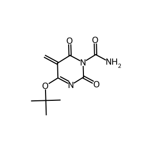 C=C1C(=O)N(C(N)=O)C(=O)N=C1OC(C)(C)C